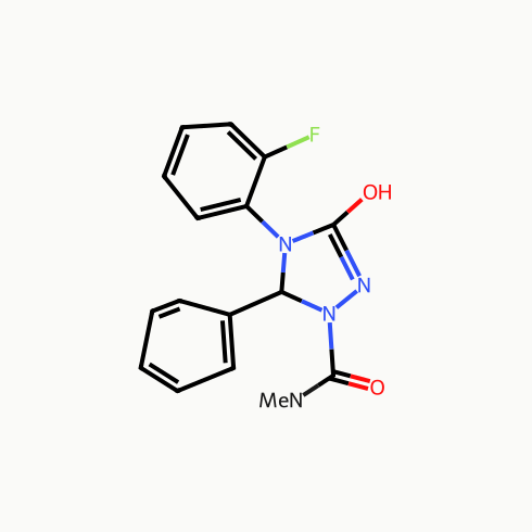 CNC(=O)N1N=C(O)N(c2ccccc2F)C1c1ccccc1